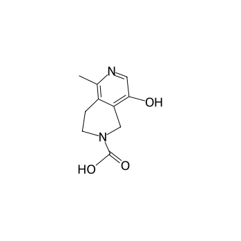 Cc1ncc(O)c2c1CCN(C(=O)O)C2